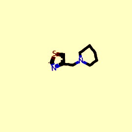 [c]1nc(CN2CCCCC2)cs1